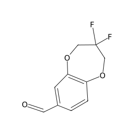 O=Cc1ccc2c(c1)OCC(F)(F)CO2